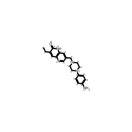 CCc1cc2ncc(CN3CCN(c4ccc(N)cc4)CC3)cc2[nH]c1=O